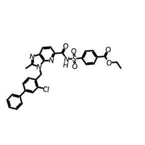 CCOC(=O)c1ccc(S(=O)(=O)NC(=O)c2ccc3nc(C)n(Cc4ccc(-c5ccccc5)cc4Cl)c3n2)cc1